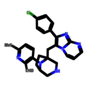 CSc1ccc(N2C3CCC2(Cc2c(-c4ccc(Cl)cc4)nc4ncccn24)CNC3)c(C=O)n1